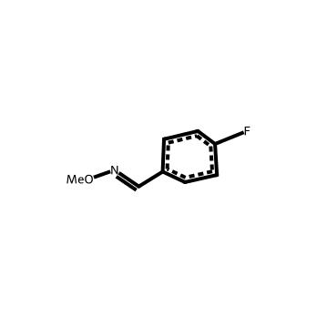 CON=Cc1ccc(F)cc1